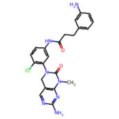 CN1C(=O)N(c2cc(NC(=O)CCc3cccc(N)c3)ccc2Cl)Cc2cnc(N)nc21